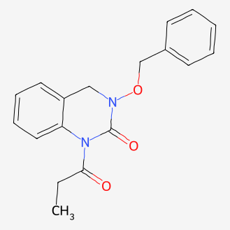 CCC(=O)N1C(=O)N(OCc2ccccc2)Cc2ccccc21